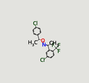 C/C(=N\OC(C)c1ccc(Cl)cc1)c1cc(Cl)ccc1C(F)(F)F